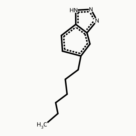 CCCCCCc1ccc2[nH]nnc2c1